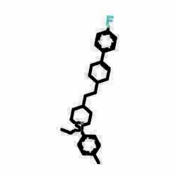 CC[Si]1(c2ccc(C)cc2)CCC(CCC2CC=C(c3ccc(F)cc3)CC2)CC1